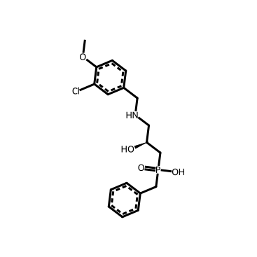 COc1ccc(CNC[C@H](O)CP(=O)(O)Cc2ccccc2)cc1Cl